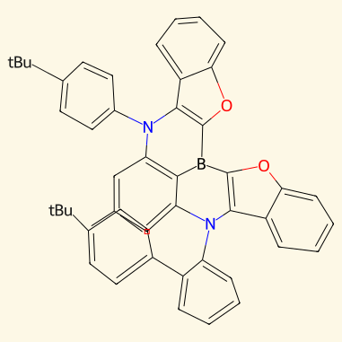 Cc1cc2c3c(c1)N(c1ccccc1-c1ccc(C(C)(C)C)cc1)c1c(oc4ccccc14)B3c1oc3ccccc3c1N2c1ccc(C(C)(C)C)cc1